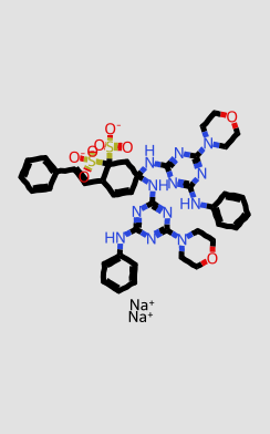 O=S(=O)([O-])C1(S(=O)(=O)[O-])CC(Nc2nc(Nc3ccccc3)nc(N3CCOCC3)n2)(Nc2nc(Nc3ccccc3)nc(N3CCOCC3)n2)C=CC1C=Cc1ccccc1.[Na+].[Na+]